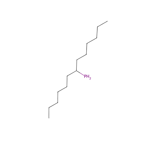 CCCCCCC(P)CCCCCC